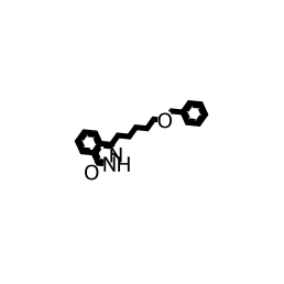 O=c1[nH]nc(CCCCCOCc2ccccc2)c2ccccc12